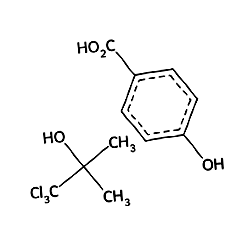 CC(C)(O)C(Cl)(Cl)Cl.O=C(O)c1ccc(O)cc1